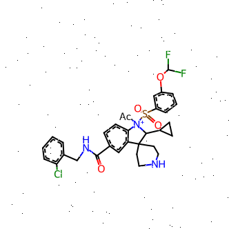 CC(=O)[N+]1(S(=O)(=O)c2cccc(OC(F)F)c2)c2ccc(C(=O)NCc3ccccc3Cl)cc2C2(CCNCC2)C1C1CC1